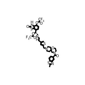 Cc1nc2cc(C(=O)N3CCOC4(CCN(Cc5cc(CCNC[C@H](OC(=O)C(F)(F)F)c6ccc(OC(=O)C(F)(F)F)c7[nH]c(=O)sc67)cs5)CC4)C3)ccc2s1